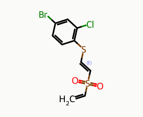 C=CS(=O)(=O)/C=C/Sc1ccc(Br)cc1Cl